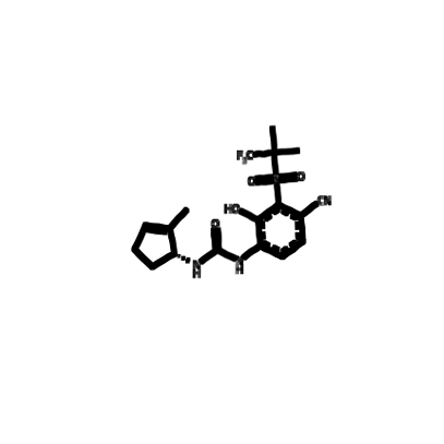 CC1=CCC[C@H]1NC(=O)Nc1ccc(C#N)c(S(=O)(=O)C(C)(C)C(F)(F)F)c1O